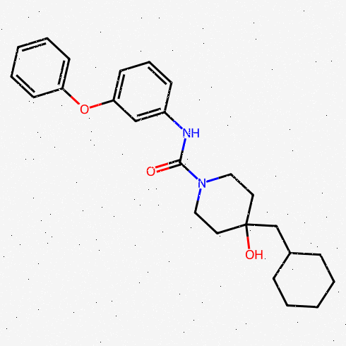 O=C(Nc1cccc(Oc2ccccc2)c1)N1CCC(O)(CC2CCCCC2)CC1